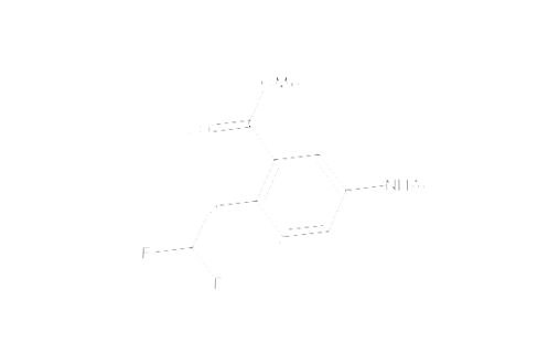 COC(=O)c1cc(NC(C)=O)ccc1OC(F)F